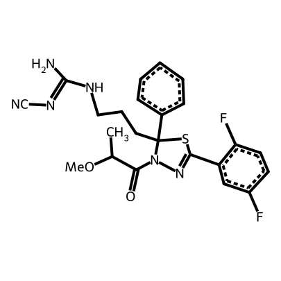 COC(C)C(=O)N1N=C(c2cc(F)ccc2F)SC1(CCCNC(N)=NC#N)c1ccccc1